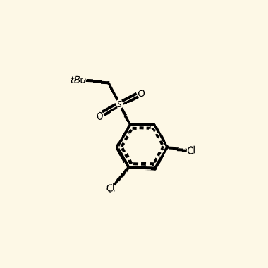 CC(C)(C)CS(=O)(=O)c1cc(Cl)cc(Cl)c1